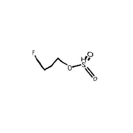 O=[SH](=O)OCCF